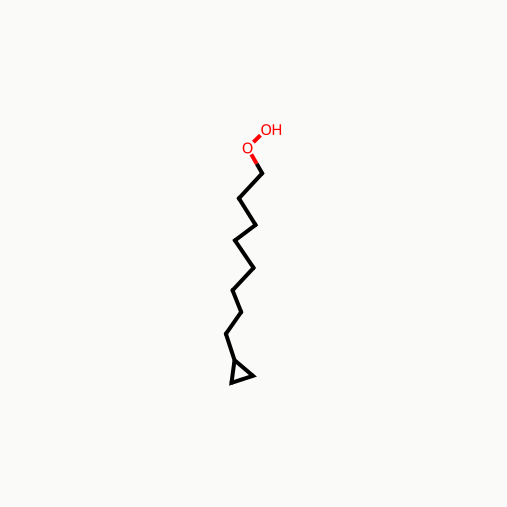 OOCCCCCCCCC1CC1